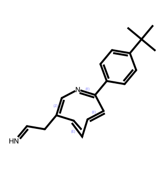 CC(C)(C)c1ccc(C2=N/C=C(CC=N)\C=C\C=C\2)cc1